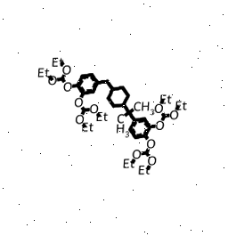 CCOC(OCC)Oc1ccc(CC2CCC(C(C)(C)c3ccc(OC(OCC)OCC)c(OC(OCC)OCC)c3)CC2)cc1OC(OCC)OCC